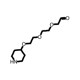 O=CCOCCOCCOC1CCNCC1